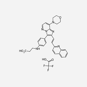 O=C(O)C(F)(F)F.O=C(O)CCNc1ccc(-c2c(C=Cc3ccc4ccccc4n3)nc3c(N4CCOCC4)ccnn23)cc1